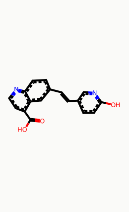 O=C(O)c1ccnc2ccc(C=Cc3ccc(O)nc3)cc12